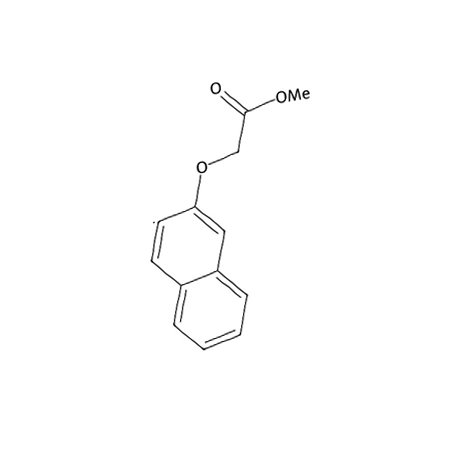 COC(=O)COc1[c]cc2ccccc2c1